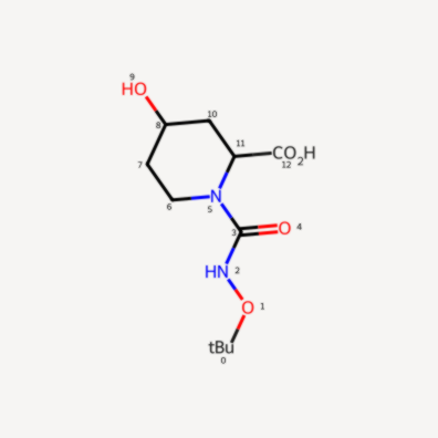 CC(C)(C)ONC(=O)N1CCC(O)CC1C(=O)O